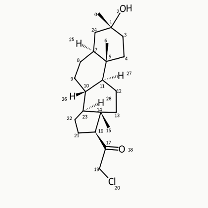 C[C@@]1(O)CC[C@@]2(C)[C@@H](CC[C@@H]3[C@@H]2CC[C@]2(C)[C@@H](C(=O)CCl)CC[C@@H]32)C1